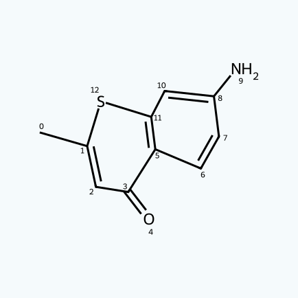 Cc1cc(=O)c2ccc(N)cc2s1